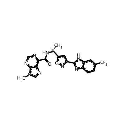 C[C@@H](NC(=O)c1ncnc2c1ncn2C)c1cc(-c2nc3ccc(C(F)(F)F)cc3[nH]2)no1